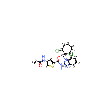 C=CC(=O)Nc1csc(C(=O)Nc2nc3cccc(Cl)c3n2CC2CCCCCC2Cl)c1